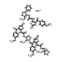 CCc1cc(C(=O)c2ccc(OC(F)(F)F)cc2)c(NC(=O)CN2CCCC2C(=O)O)s1.CCc1cc(C(=O)c2ccc(OC(F)(F)F)cc2)c(NC(=O)CNC2(C(=O)O)CCCC2)s1.Cl.O=C(CN1C(C(=O)O)CCC1c1ccccc1)Nc1sc(Cl)cc1C(=O)c1ccc(OC(F)(F)F)cc1